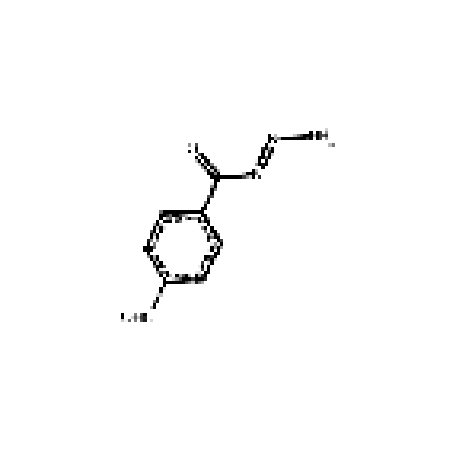 NN=NC(=O)c1ccc(C=O)cc1